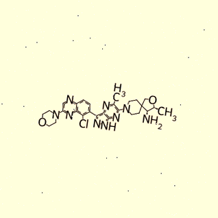 Cc1nc2c(-c3ccc4ncc(N5CCOCC5)nc4c3Cl)n[nH]c2nc1N1CCC2(CC1)CO[C@@H](C)[C@H]2N